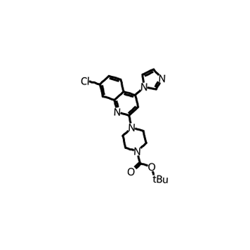 CC(C)(C)OC(=O)N1CCN(c2cc(-n3ccnc3)c3ccc(Cl)cc3n2)CC1